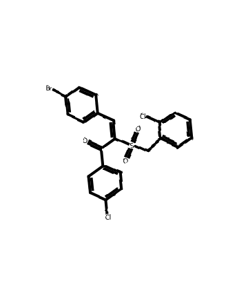 O=C(/C(=C\c1ccc(Br)cc1)S(=O)(=O)Cc1ccccc1Cl)c1ccc(Cl)cc1